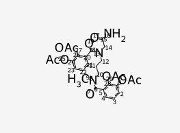 CC(=O)Oc1cccc(C(=O)N(C)CCCN(CC(N)=O)C(=O)c2cccc(OC(C)=O)c2OC(C)=O)c1OC(C)=O